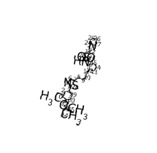 CC1=CC(c2ncc(C/C=C\C=C3/CCC[C@@H]3NS(=O)(=O)CCN3CCCC3)s2)=CCC1OC(C)C